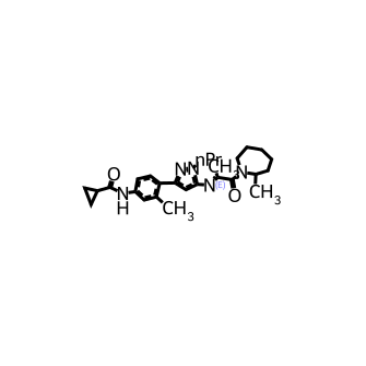 CCCn1nc(-c2ccc(NC(=O)C3CC3)cc2C)cc1/N=C(\C)C(=O)N1CCCCCC1C